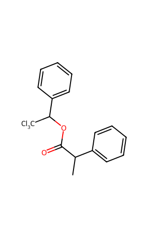 CC(C(=O)OC(c1ccccc1)C(Cl)(Cl)Cl)c1ccccc1